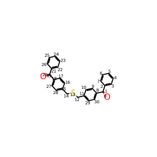 O=C(c1ccccc1)c1ccc(CSCc2ccc(C(=O)c3ccccc3)cc2)cc1